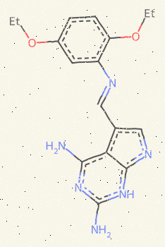 CCOc1ccc(OCC)c(N=Cc2cnc3[nH]c(N)nc(N)c2-3)c1